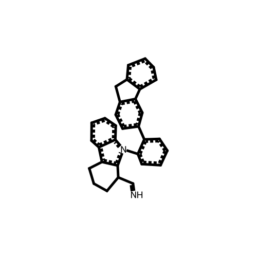 N=CC1CCCc2c1n(-c1ccccc1-c1ccc3c(c1)-c1ccccc1C3)c1ccccc21